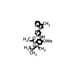 C=CC(=O)Nc1cc(Nc2cc(-n3cc(C)c4cccnc43)ncn2)c(OC)cc1N(C)CCN(C)C